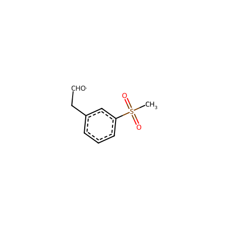 CS(=O)(=O)c1cccc(C[C]=O)c1